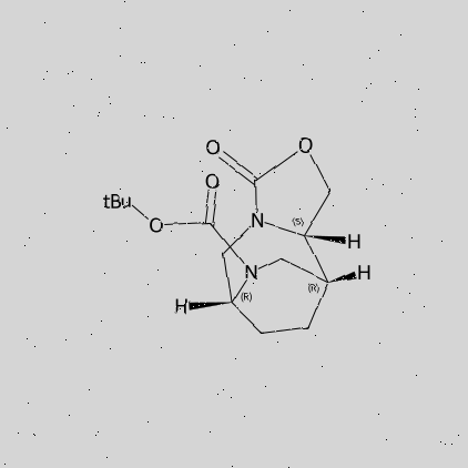 CC(C)(C)OC(=O)N1C[C@H]2CC[C@@H]1CN1C(=O)OC[C@H]21